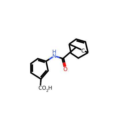 O=C(O)c1cccc(NC(=O)C2CC3C=CC2CC3)c1